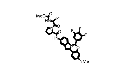 CNc1ccc2c(c1)OC(c1cc(F)c(F)c(F)c1)n1c-2cc2cc(NC(=O)C3CCCN3C(=O)C(NC(=O)OC)C(C)C)ccc21